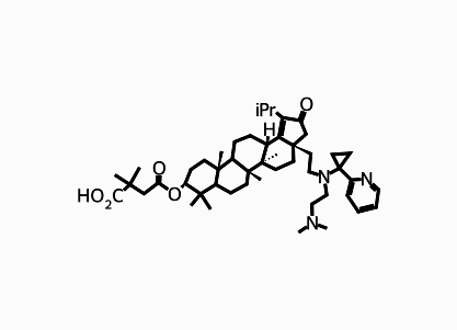 CC(C)C1=C2[C@H]3CCC4[C@@]5(C)CC[C@H](OC(=O)CC(C)(C)C(=O)O)C(C)(C)C5CC[C@@]4(C)[C@]3(C)CC[C@@]2(CCN(CCN(C)C)C2(c3ccccn3)CC2)CC1=O